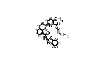 CCCNC(=O)c1nc(N2CCc3cccc(C(=O)Nc4nc5ccccc5s4)c3C2)ccc1C